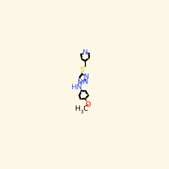 COc1ccc(Nn2cc(SCc3ccncc3)nn2)cc1